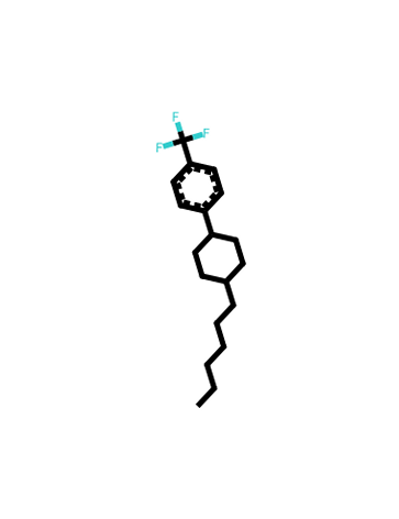 CCCCCCC1CCC(c2ccc(C(F)(F)F)cc2)CC1